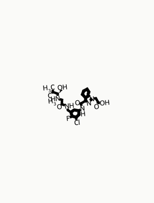 CC(C)[C@H](CO)NCC(=O)NCc1cc(NC(=O)c2nn(CC(=O)O)c3ccccc23)cc(Cl)c1F